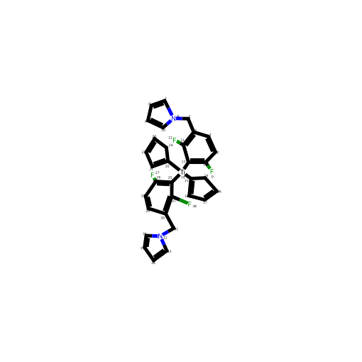 Fc1ccc(Cn2cccc2)c(F)[c]1[Ti]([C]1=CC=CC1)([C]1=CC=CC1)[c]1c(F)ccc(Cn2cccc2)c1F